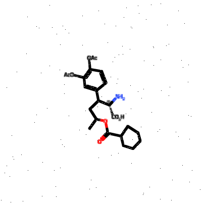 CC(=O)Oc1ccc(C(CC(C)OC(=O)C2CCCCC2)[C@H](N)C(=O)O)cc1OC(C)=O